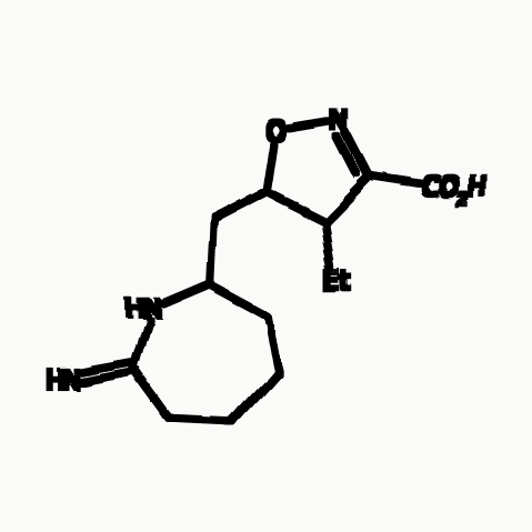 CCC1C(C(=O)O)=NOC1CC1CCCCC(=N)N1